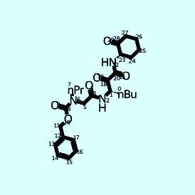 CCCC[C@H](NC(=O)CN(CCC)C(=O)OCc1ccccc1)C(=O)C(=O)N[C@H]1CCCCC1=O